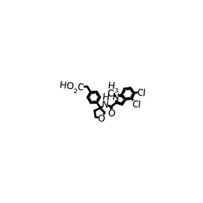 Cn1c(C(=O)NC2(c3ccc(CC(=O)O)cc3)CCOC2)cc2c(Cl)c(Cl)ccc21